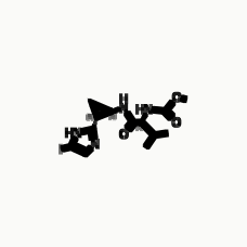 COC(=O)N[C@H](C(=O)N[C@@H]1C[C@H]1c1ncc(I)[nH]1)C(C)C